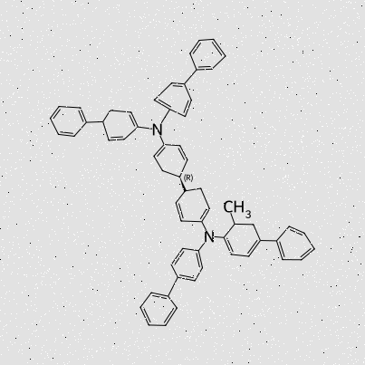 CC1CC(c2ccccc2)=CC=C1N(C1=CCC([C@@H]2C=CC(N(C3=CCC(c4ccccc4)C=C3)c3ccc(-c4ccccc4)cc3)=CC2)C=C1)c1ccc(-c2ccccc2)cc1